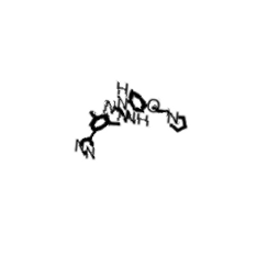 Cc1cc(-c2cncnc2)cc(C)c1/N=C(\N=N)Nc1ccc(OCCN2CCCC2)cc1